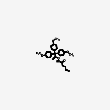 COc1ccc(C(C(=O)ONC(=O)CCC=O)(c2ccc(OC)cc2)c2ccc(OC)cc2)cc1